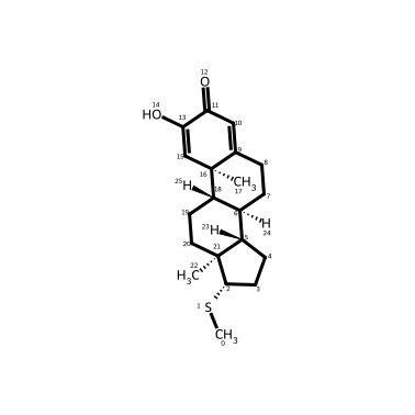 CS[C@H]1CC[C@H]2[C@@H]3CCC4=CC(=O)C(O)=C[C@]4(C)[C@H]3CC[C@]12C